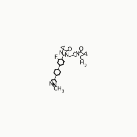 Cn1cc(-c2ccc(-c3ccc(C4=NC5(CC5)C(=O)N4CC4CN(C(=O)C5(C)CC5)C4)c(F)c3)cc2)cn1